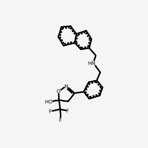 OC1(C(F)(F)F)CC(c2cccc(CNCc3ccc4ccccc4c3)c2)=NO1